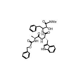 CNC(=O)[C@@H](O)C(Cc1ccccc1)NC(=O)[C@H](Cc1c[nH]c2ccccc12)NC(=O)[C@H](C)NC(=O)OCc1ccccc1